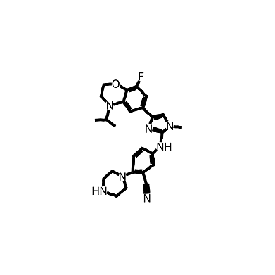 CC(C)N1CCOc2c(F)cc(-c3cn(C)c(Nc4ccc(N5CCNCC5)c(C#N)c4)n3)cc21